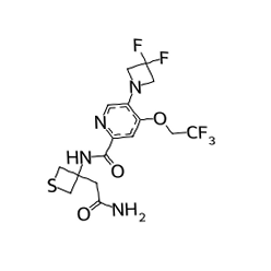 NC(=O)CC1(NC(=O)c2cc(OCC(F)(F)F)c(N3CC(F)(F)C3)cn2)CSC1